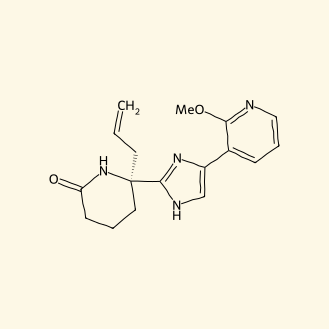 C=CC[C@]1(c2nc(-c3cccnc3OC)c[nH]2)CCCC(=O)N1